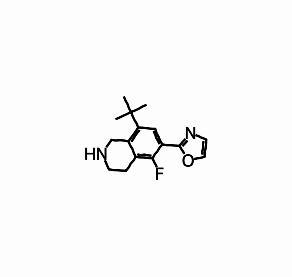 CC(C)(C)c1cc(-c2ncco2)c(F)c2c1CNCC2